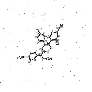 N#Cc1ccc([C@H](CO)N2CCN(c3ccc(C#N)cc3Cl)[C@H](c3ccc(Cl)cc3)C2)cc1